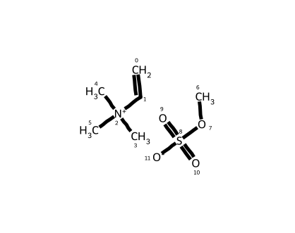 C=C[N+](C)(C)C.COS(=O)(=O)[O-]